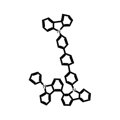 c1ccc(-n2c3ccccc3c3c(-c4cccc5c6ccccc6n(-c6ccc(-c7ccc(-c8ccc(-n9c%10ccccc%10c%10ccccc%109)cc8)cc7)cc6)c45)cccc32)cc1